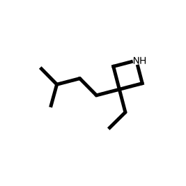 CCC1(CCC(C)C)CNC1